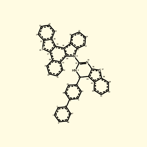 c1ccc(-c2ccc(C3NC(n4c5ccccc5c5c6c7ccccc7sc6c6ccccc6c54)=Nc4sc5ccccc5c43)cc2)cc1